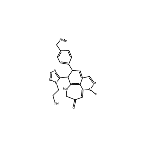 CNCc1ccc(C2C=C3C=NN(F)C4=CC(=O)CNC(=C34)C2c2ncnn2CCO)cc1